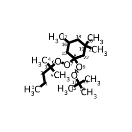 CCCC(C)(C)OOC1(OOC(C)(C)C)CC(C)CC(C)(C)C1